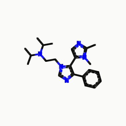 Cc1ncc(-c2c(-c3ccccc3)ncn2CCN(C(C)C)C(C)C)n1C